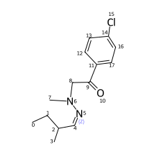 CCC(C)/C=N\N(C)CC(=O)c1ccc(Cl)cc1